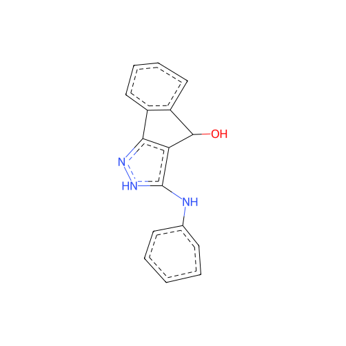 OC1c2ccccc2-c2n[nH]c(Nc3ccccc3)c21